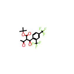 CC(=O)C(C(=O)OC(C)(C)C)C(=O)c1ccc(C(F)(F)F)cc1C(F)(F)F